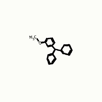 COc1cc[c]c(C(c2ccccc2)c2ccccc2)c1